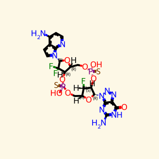 Nc1nc2c(nnn2[C@@H]2O[C@@H]3COP(O)(=S)O[C@@H]4[C@@H](COP(O)(=S)O[C@@H]2[C@H]3F)O[C@@H](n2ccc3c(N)ccnc32)C4(F)F)c(=O)[nH]1